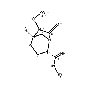 CC(C)NC(=N)[C@@H]1CC[C@@H]2CN1C(=O)N2OS(=O)(=O)O